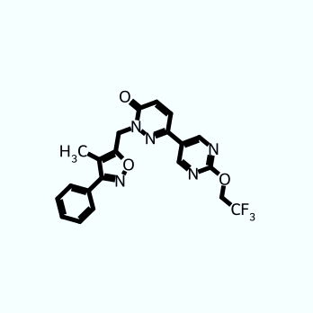 Cc1c(-c2ccccc2)noc1Cn1nc(-c2cnc(OCC(F)(F)F)nc2)ccc1=O